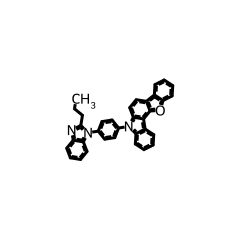 CCCc1nc2ccccc2n1-c1ccc(-n2c3ccccc3c3c4oc5ccccc5c4ccc32)cc1